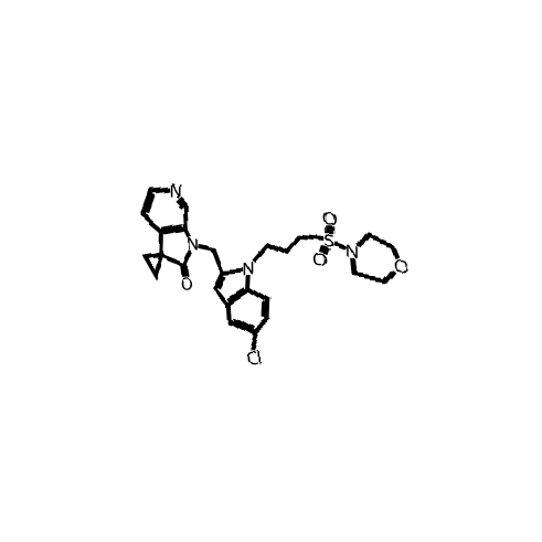 O=C1N(Cc2cc3cc(Cl)ccc3n2CCCS(=O)(=O)N2CCOCC2)c2cnccc2C12CC2